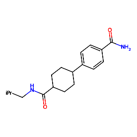 CC(C)CNC(=O)C1CCC(c2ccc(C(N)=O)cc2)CC1